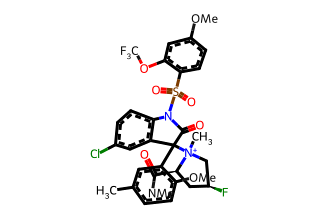 CNC(=O)[C@@H]1C[C@H](F)C[N+]1(C)C1(c2cc(C)ccc2OC)C(=O)N(S(=O)(=O)c2ccc(OC)cc2OC(F)(F)F)c2ccc(Cl)cc21